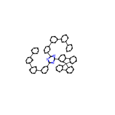 c1ccc(-c2cccc(-c3cccc(-c4cccc(-c5nc(-c6cccc(-c7cccc(-c8cccc(-c9ccccc9)c8)c7)c6)nc(-c6ccc7c(c6)C6(c8ccccc8-c8ccccc86)c6ccccc6-7)n5)c4)c3)c2)cc1